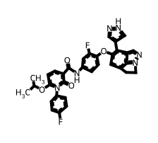 CC(C)Oc1ccc(C(=O)Nc2ccc(Oc3cc4c5c(cnn5CC4)c3-c3cn[nH]c3)c(F)c2)c(=O)n1-c1ccc(F)cc1